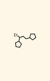 [CH2]CC(CCC1CCCC1)C1CCCC1